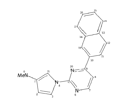 CNc1ccn(-c2nccc(-c3ccc4ccccc4c3)n2)c1